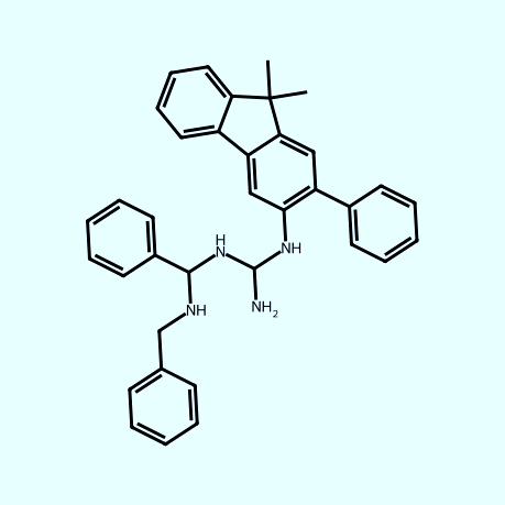 CC1(C)c2ccccc2-c2cc(NC(N)NC(NCc3ccccc3)c3ccccc3)c(-c3ccccc3)cc21